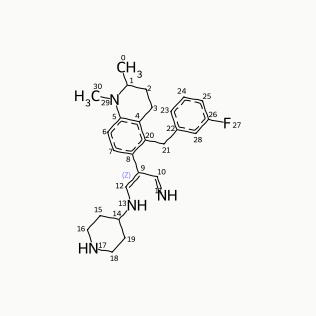 CC1CCc2c(ccc(/C(C=N)=C/NC3CCNCC3)c2Cc2cccc(F)c2)N1C